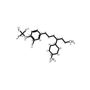 CCCC(CCCc1ccc(OC(F)(F)F)c(F)c1)C1CCC(C)CC1